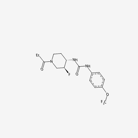 CCC(=O)N1CC[C@H](NC(=O)Nc2ccc(OC(F)(F)F)cc2)[C@@H](F)C1